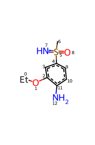 CCOc1cc(S(C)(=N)=O)ccc1N